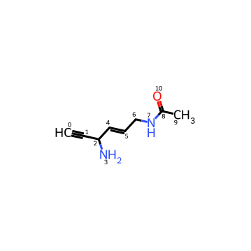 C#CC(N)C=CCNC(C)=O